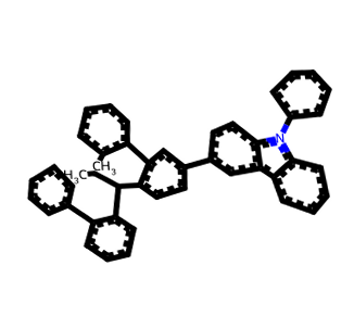 CCC(c1ccccc1-c1ccccc1)c1ccc(-c2ccc3c(c2)c2ccccc2n3-c2ccccc2)cc1-c1ccccc1C